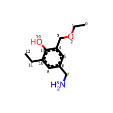 CCOCc1cc(CN)cc(CC)c1O